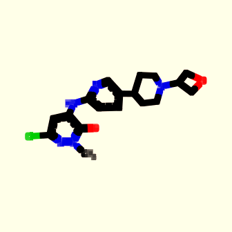 Cn1nc(Cl)cc(Nc2ccc(C3CCN(C4COC4)CC3)cn2)c1=O